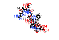 C[C@H](NC(=O)[C@@H](N)Cc1cnc[nH]1)C(=O)N[C@@H](CCC(=O)O)C(=O)NCC(=O)N[C@H](C(=O)N[C@@H](Cc1ccccc1)C(=O)N[C@H](C(=O)N[C@@H](CO)C(=O)N[C@@H](CC(=O)O)C(=O)O)[C@@H](C)O)[C@@H](C)O